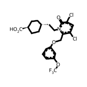 O=c1c(Cl)cc(Cl)c(COc2cccc(OC(F)(F)F)c2)n1CC[C@H]1CC[C@H](C(=O)O)CC1